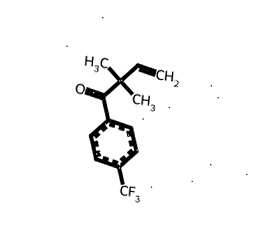 C=CC(C)(C)C(=O)c1ccc(C(F)(F)F)cc1